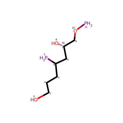 OCCCC(P)C[C@H](O)COP